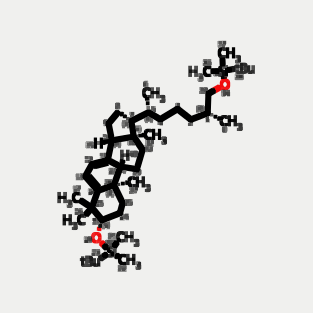 C[C@H](CCC[C@@H](C)[C@H]1CC[C@H]2C3=CC=C4C(C)(C)[C@@H](O[Si](C)(C)C(C)(C)C)CC[C@]4(C)[C@H]3CC[C@]12C)CO[Si](C)(C)C(C)(C)C